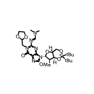 CO[C@@H]1[C@@H]2O[Si](C(C)(C)C)(C(C)(C)C)OC[C@H]2O[C@H]1n1cnc2c(=O)n(CC3OCCO3)c(/N=C/N(C)C)nc21